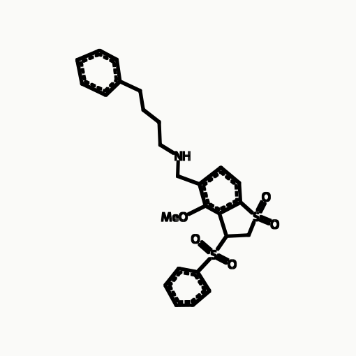 COc1c(CNCCCCc2ccccc2)ccc2c1C(S(=O)(=O)c1ccccc1)CS2(=O)=O